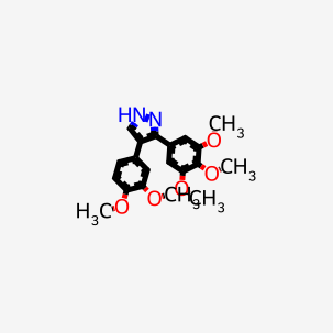 COc1ccc(-c2c[nH]nc2-c2cc(OC)c(OC)c(OC)c2)cc1OC